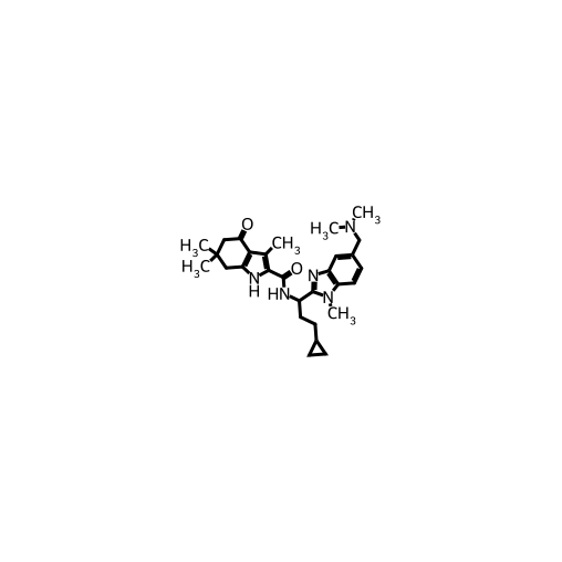 Cc1c(C(=O)NC(CCC2CC2)c2nc3cc(CN(C)C)ccc3n2C)[nH]c2c1C(=O)CC(C)(C)C2